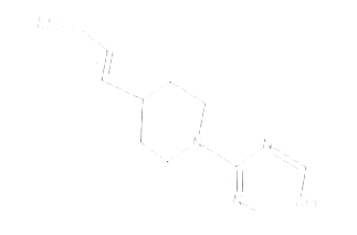 CCC/C=N\C(=N/C)N1CCC(/C=C/C(=O)OCC)CC1